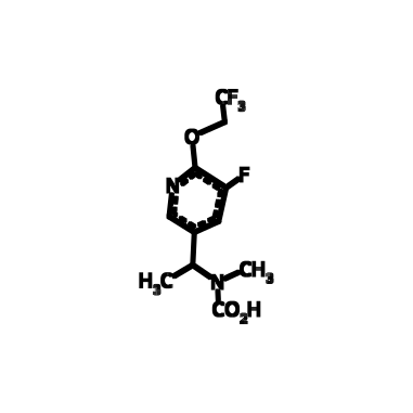 CC(c1cnc(OCC(F)(F)F)c(F)c1)N(C)C(=O)O